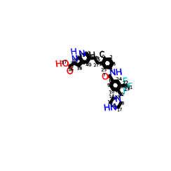 Cc1ccc(NC(=O)c2ccc(CN3CCNCC3)c(C(F)(F)F)c2)cc1CCc1cnc2[nH]c(C(=O)O)cc2c1